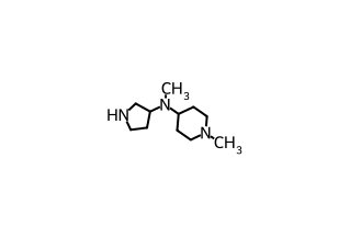 CN1CCC(N(C)C2CCNC2)CC1